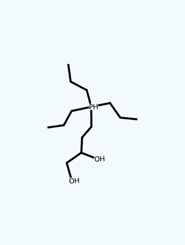 CCC[PH](CCC)(CCC)CCC(O)CO